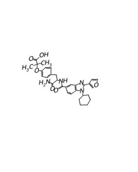 CC(C)(Oc1ccc(CC(NC(=O)c2ccc3c(c2)nc(-c2ccoc2)n3C2CCCCC2)C(N)=O)cc1)C(=O)O